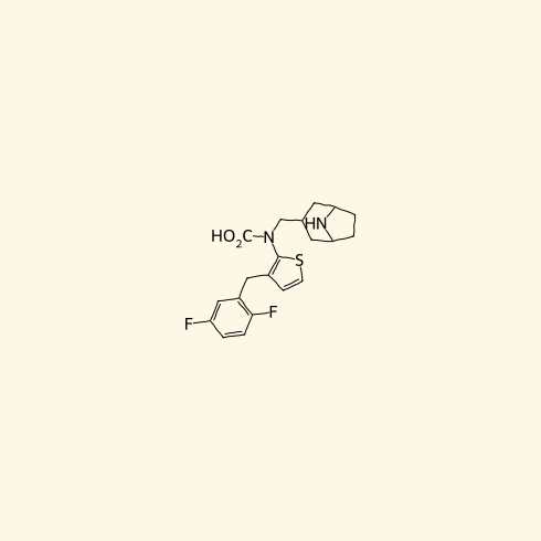 O=C(O)N(CC1CC2CCC(C1)N2)c1sccc1Cc1cc(F)ccc1F